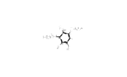 Br.COc1cc(F)c(F)c(F)c1F